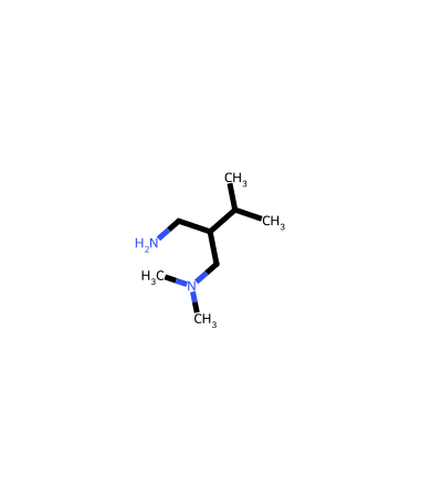 CC(C)C(CN)CN(C)C